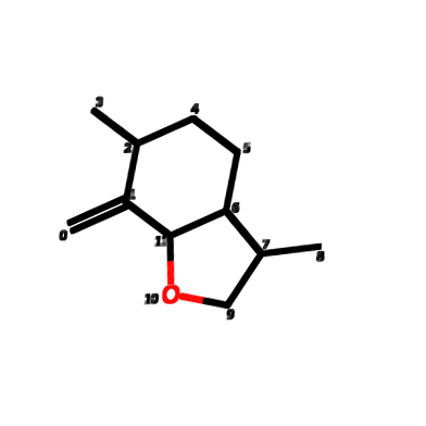 C=C1C(C)CCC2C(C)COC12